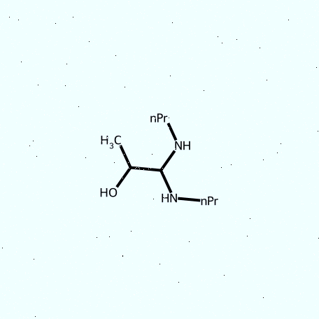 CCCNC(NCCC)C(C)O